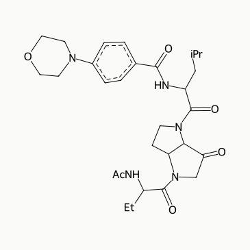 CCC(NC(C)=O)C(=O)N1CC(=O)C2C1CCN2C(=O)C(CC(C)C)NC(=O)c1ccc(N2CCOCC2)cc1